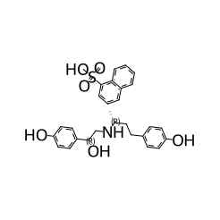 C[C@H](CCc1ccc(O)cc1)NC[C@H](O)c1ccc(O)cc1.O=S(=O)(O)c1cccc2ccccc12